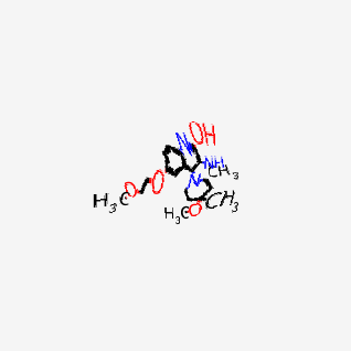 CNc1c(O)nc2ccc(OCCOC)cc2c1N1CCC(C)(OC)CC1